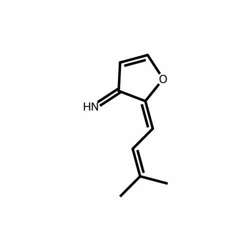 CC(C)=C/C=C1/OC=CC1=N